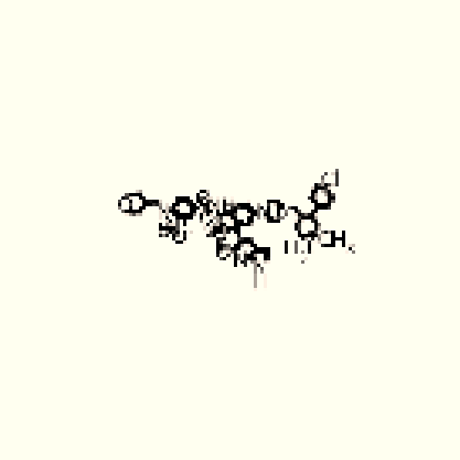 CC1(C)CCC(CN2CCN(c3ccc(C(=O)NS(=O)(=O)c4ccc(NCC5CCOCC5)c([N+](=O)[O-])c4)c(N4c5cc6cc[nH]c6nc5OCS4(=O)=O)c3)CC2)=C(c2ccc(Cl)cc2)C1